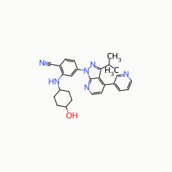 CC(C)c1nn(-c2ccc(C#N)c(NC3CCC(O)CC3)c2)c2nccc(-c3cccnc3)c12